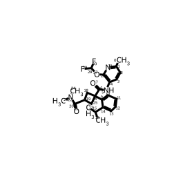 Cc1ccc(NC(=O)C2(c3ccccc3C(C)C)CC(C(=O)N(C)C)C2)c(OC(F)F)n1